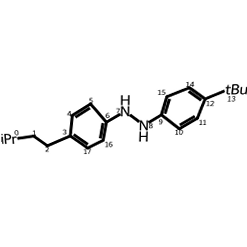 CC(C)CCc1ccc(NNc2ccc(C(C)(C)C)cc2)cc1